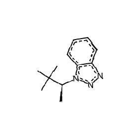 C[C@H](n1nnc2ccccc21)C(C)(C)C